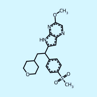 COc1cnc2cc(C(CC3CCOCC3)c3ccc(S(C)(=O)=O)cc3)[nH]c2n1